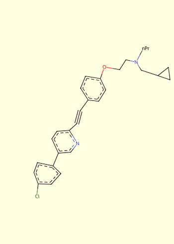 CCCN(CCOc1ccc(C#Cc2ccc(-c3ccc(Cl)cc3)cn2)cc1)CC1CC1